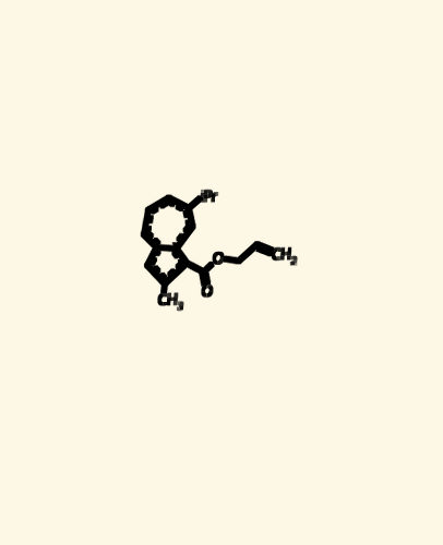 C=CCOC(=O)c1c(C)cc2cccc(C(C)C)cc1-2